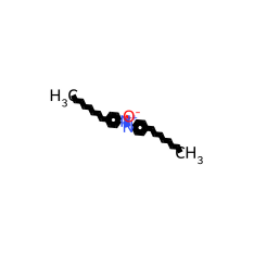 CCCCCCCCc1ccc(N=[N+]([O-])c2ccc(CCCCCCCC)cc2)cc1